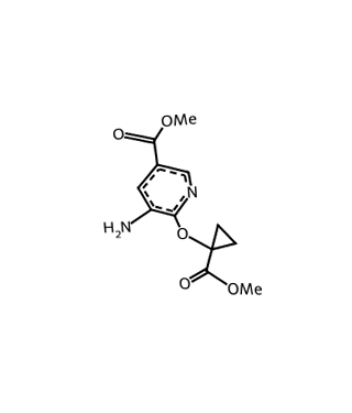 COC(=O)c1cnc(OC2(C(=O)OC)CC2)c(N)c1